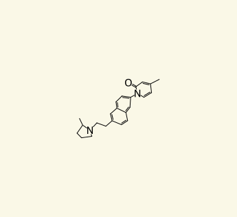 Cc1ccn(-c2ccc3cc(CCN4CCCC4C)ccc3c2)c(=O)c1